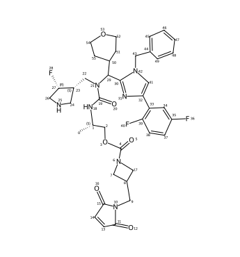 C[C@@H](COC(=O)N1CC(CN2C(=O)C=CC2=O)C1)NC(=O)N(C[C@@H]1CNC[C@@H]1F)C(c1nc(-c2cc(F)ccc2F)cn1Cc1ccccc1)C1CCOCC1